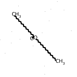 CCCCCCC=CCCCCCCCCCCOC(=O)CCCCCCCCCCCCCCCCC